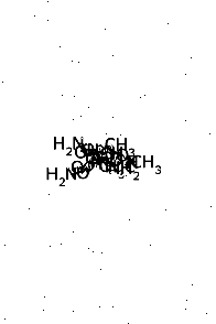 C[C@H](CCC(=O)OCCN(C)C)C1CC[C@H]2C3[C@H](OC(=O)CN)CC4C[C@H](OC(=O)CN)CC[C@]4(C)[C@H]3C[C@H](OC(=O)CN)C12C